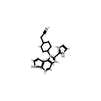 N#CCC1CCC(n2c(-c3ncc[nH]3)nc3cnc4[nH]ccc4c32)CC1